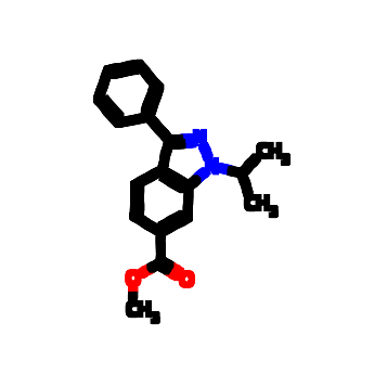 COC(=O)c1ccc2c(-c3ccccc3)nn(C(C)C)c2c1